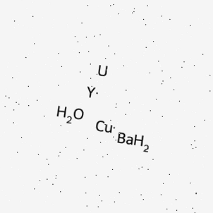 O.[BaH2].[Cu].[U].[Y]